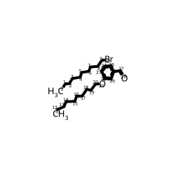 CCCCCCCCCCBr.CCCCCCCCCCOc1cccc(C=O)c1